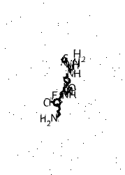 C[C@H](N)CCCc1cc(Cl)c(F)c(-c2cc3cn(-c4ccc(CN[C@H](CCN)CNc5nccs5)cc4)c(=O)nc3[nH]2)c1